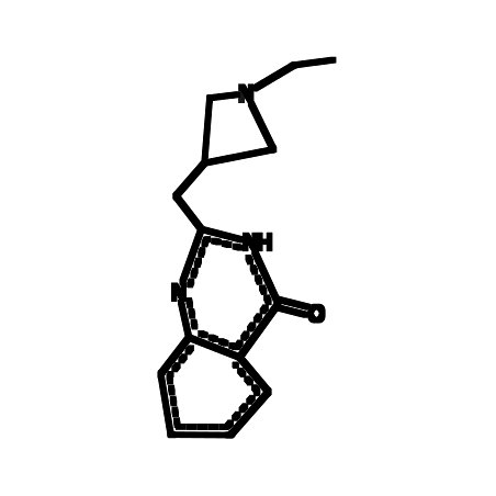 CCN1CC(Cc2nc3ccccc3c(=O)[nH]2)C1